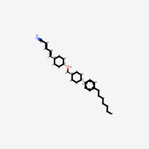 CCCCCCCc1ccc([C@H]2CC[C@H](CO[C@H]3CC[C@H](/C=C/C=C/C#N)CC3)CC2)cc1